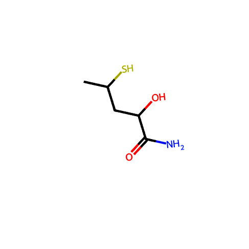 CC(S)CC(O)C(N)=O